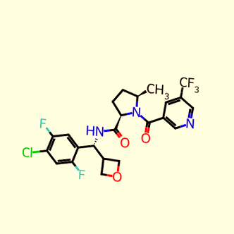 C[C@@H]1CC[C@H](C(=O)N[C@@H](c2cc(F)c(Cl)cc2F)C2COC2)N1C(=O)c1cncc(C(F)(F)F)c1